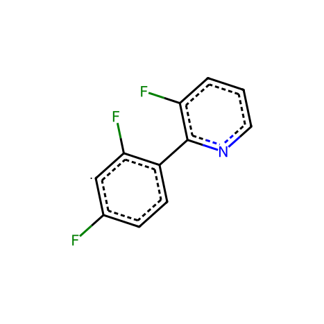 Fc1[c]c(F)c(-c2ncccc2F)cc1